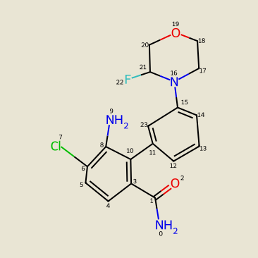 NC(=O)c1ccc(Cl)c(N)c1-c1cccc(N2CCOCC2F)c1